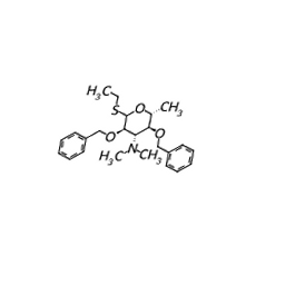 CCSC1O[C@H](C)[C@@H](OCc2ccccc2)[C@H](N(C)C)[C@H]1OCc1ccccc1